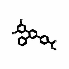 COC(=O)c1ccc(-c2ccc(-c3cc(Br)cc(Br)c3)c(-c3ccccc3)c2)cc1